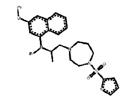 CC(C)Oc1cc(N(C(C)C)C(C)CN2CCCN(S(=O)(=O)c3cccs3)CC2)c2ccccc2c1